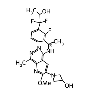 COc1nc2c(C)nnc(N[C@H](C)c3cccc(C(F)(F)C(C)O)c3F)c2cc1N1CC(O)C1